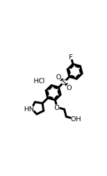 Cl.O=S(=O)(c1cccc(F)c1)c1ccc(C2CCNC2)c(OCCO)c1